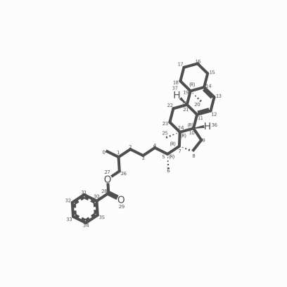 CC(CCC[C@@H](C)[C@H]1CC[C@H]2C3=CC=C4CCCC[C@]4(C)[C@H]3CC[C@]12C)COC(=O)c1ccccc1